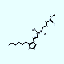 CCCCCCc1occc1/C=C/[C@@H](O)[C@@H](O)CCCC(=O)OC